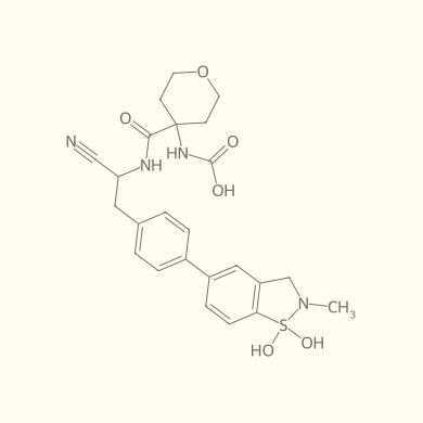 CN1Cc2cc(-c3ccc(CC(C#N)NC(=O)C4(NC(=O)O)CCOCC4)cc3)ccc2S1(O)O